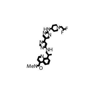 CNC(=O)c1ccnc2c(C(C)CNc3cc(-c4cnc(NC5CCN(CC(F)F)CC5)nc4)ncn3)cccc12